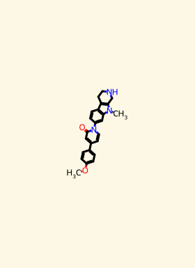 COc1ccc(-c2ccn(-c3ccc4c5c(n(C)c4c3)CNCC5)c(=O)c2)cc1